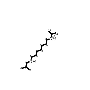 CC(C)CNCCCCCCCNC(C)C